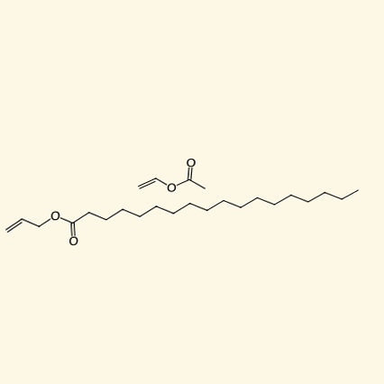 C=CCOC(=O)CCCCCCCCCCCCCCCCC.C=COC(C)=O